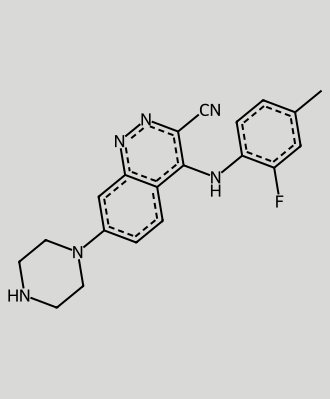 Cc1ccc(Nc2c(C#N)nnc3cc(N4CCNCC4)ccc23)c(F)c1